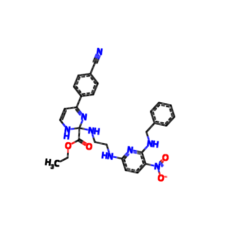 CCOC(=O)C1(NCCNc2ccc([N+](=O)[O-])c(NCc3ccccc3)n2)N=C(c2ccc(C#N)cc2)C=CN1